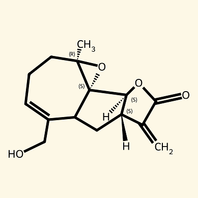 C=C1C(=O)O[C@H]2[C@H]1CC1C(CO)=CCC[C@@]3(C)O[C@@]123